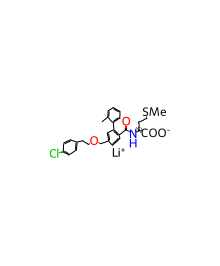 CSCC[C@H](NC(=O)c1ccc(COCCc2ccc(Cl)cc2)cc1-c1ccccc1C)C(=O)[O-].[Li+]